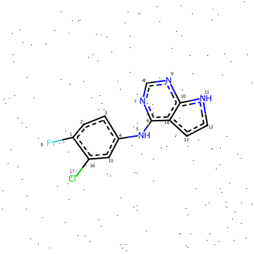 Fc1ccc(Nc2ncnc3[nH]ccc23)cc1Cl